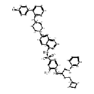 O=[N+]([O-])c1cc(S(=O)(=O)Nc2ncnc3cc(N4CCN(Cc5ccccc5-c5ccc(Cl)cc5)CC4)ccc23)ccc1NC(CCN1CCC1)CSc1ccccc1